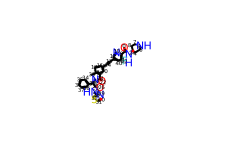 O=C(NC1CCNCC1)c1ncc(C#Cc2ccc3c(c2)C(=O)N(C(C(=O)Nc2nccs2)c2ccccc2)C3)cc1F